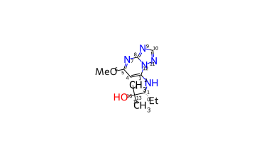 CC[C@@H](Nc1cc(OC)nc2ncnn12)C(C)(C)O